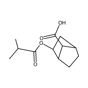 CC(C)C(=O)OC1CC2CCC1C2C(=O)O